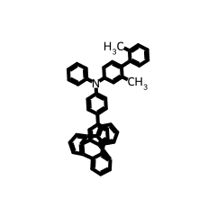 CC1=CC(N(c2ccccc2)c2ccc(-c3ccc4c(c3)-c3c5cccc3-c3cccc-4c3-c3ccccc3-5)cc2)CC=C1c1ccccc1C